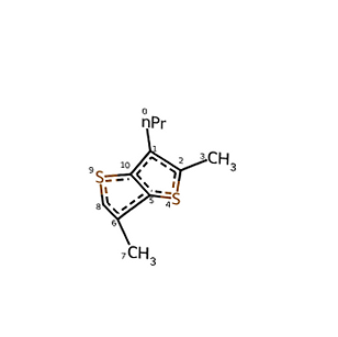 CCCc1c(C)sc2c(C)csc12